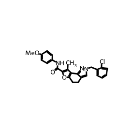 COc1ccc(NC(=O)c2oc3c(c2C)-c2nn(Cc4ccccc4Cl)cc2CC3)cc1